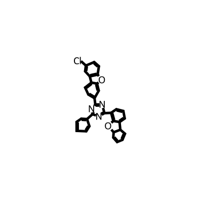 Clc1ccc2oc3cc(-c4nc(-c5ccccc5)nc(-c5cccc6c5OC5C=CC=CC65)n4)ccc3c2c1